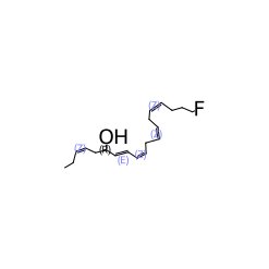 CC/C=C\C[C@@H](O)/C=C/C=C\C/C=C\C/C=C\CCCF